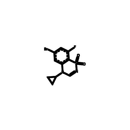 O=S1(=O)N=CN(C2CC2)c2cc(Br)cc(F)c21